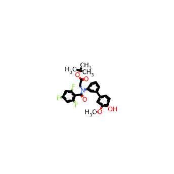 COc1cc(-c2cccc(N(CC(=O)OC(C)(C)C)C(=O)c3c(F)cc(F)cc3F)c2)ccc1O